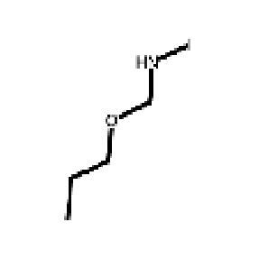 CCCOCNI